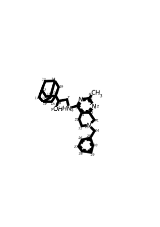 Cc1nc2c(c(NCC(O)C34CC5CC(CC(C5)C3)C4)n1)CCN(Cc1ccccc1)C2